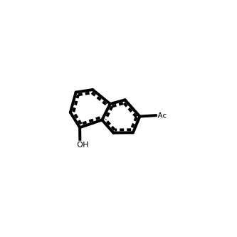 CC(=O)c1ccc2c(O)cccc2c1